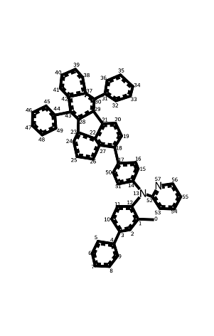 Cc1cc(-c2ccccc2)ccc1N(c1ccc(-c2ccc3c4c(cccc24)-c2c-3c(-c3ccccc3)c3ccccc3c2-c2ccccc2)cc1)c1ccccn1